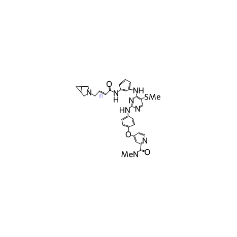 CNC(=O)c1cc(Oc2ccc(Nc3ncc(SC)c(Nc4cccc(NC(=O)/C=C/CN5CC6CC6C5)c4)n3)cc2)ccn1